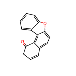 O=C1CC=Cc2ccc3oc4ccccc4c3c21